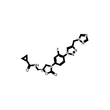 O=C(NC[C@H]1CN(c2ccc(-n3cc(Cn4cncn4)nn3)c(F)c2)C(=O)O1)C1CC1